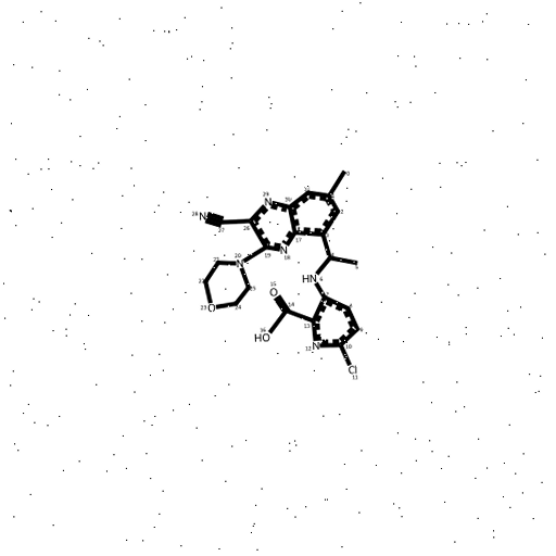 Cc1cc(C(C)Nc2ccc(Cl)nc2C(=O)O)c2nc(N3CCOCC3)c(C#N)nc2c1